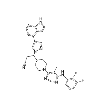 Cc1c(Nc2cccc(F)c2F)ncnc1N1CCC(C(CC#N)n2cc(-c3ncnc4[nH]ccc34)cn2)CC1